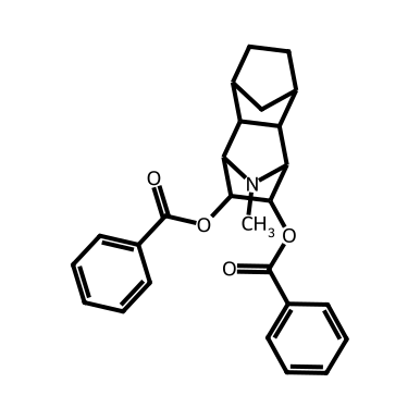 CN1C2C(OC(=O)c3ccccc3)C(OC(=O)c3ccccc3)C1C1C3CCC(C3)C12